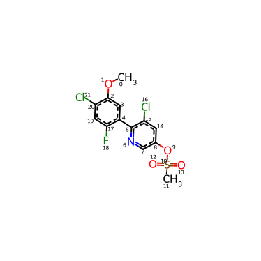 COc1cc(-c2ncc(OS(C)(=O)=O)cc2Cl)c(F)cc1Cl